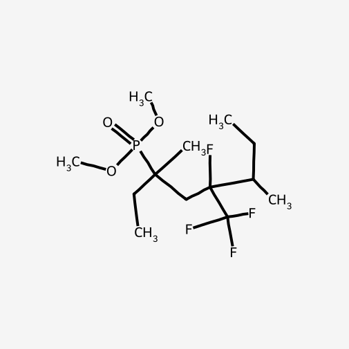 CCC(C)C(F)(CC(C)(CC)P(=O)(OC)OC)C(F)(F)F